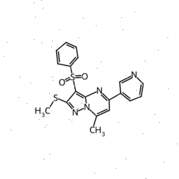 CSc1nn2c(C)cc(-c3cccnc3)nc2c1S(=O)(=O)c1ccccc1